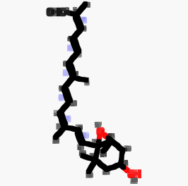 C/C(C=O)=C/C=C/C=C(C)/C=C/C=C(C)\C=C\C12OC1(C)CC(O)CC2(C)C